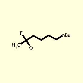 CCCCCCCCC(C)([O])F